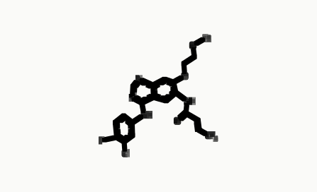 CCOCCOc1cc2ncnc(Nc3ccc(F)c(Cl)c3)c2cc1NC(=O)/C=C/C(F)(F)F